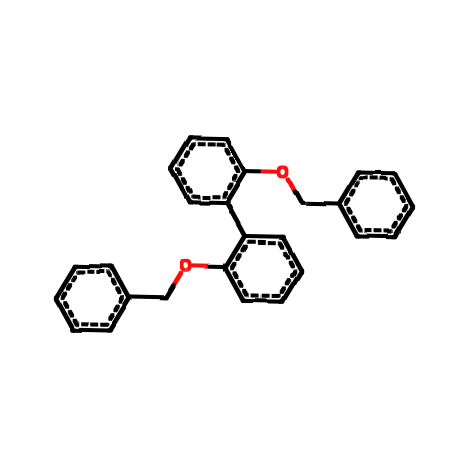 c1ccc(COc2ccccc2-c2ccccc2OCc2ccccc2)cc1